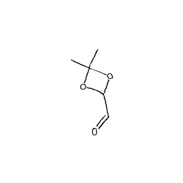 CC1(C)OC(C=O)O1